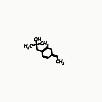 CC=C1C=CC(CC(C)(C)O)=CC1